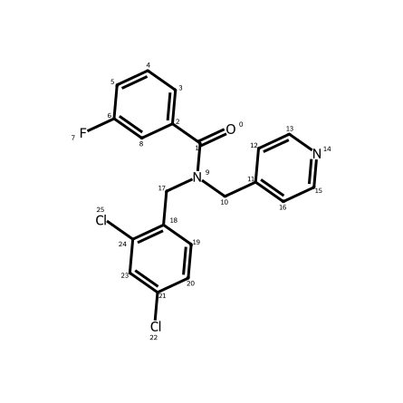 O=C(c1cccc(F)c1)N(Cc1ccncc1)Cc1ccc(Cl)cc1Cl